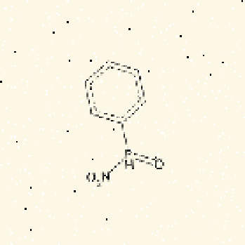 O=[N+]([O-])[PH](=O)c1ccccc1